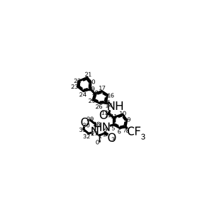 C[C@H](C(=O)Nc1cc(C(F)(F)F)ccc1C(=O)Nc1ccc(-c2ccccc2)cc1)N1CCOCC1